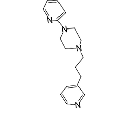 c1ccc(N2CCN(CCCc3cccnc3)CC2)nc1